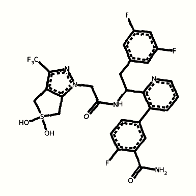 NC(=O)c1cc(-c2cccnc2C(Cc2cc(F)cc(F)c2)NC(=O)Cn2nc(C(F)(F)F)c3c2CS(O)(O)C3)ccc1F